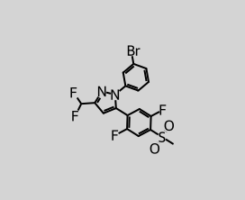 CS(=O)(=O)c1cc(F)c(-c2cc(C(F)F)nn2-c2cccc(Br)c2)cc1F